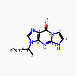 CCCCCC(C)n1cnc2c(=O)n3cc[nH]c3nc21